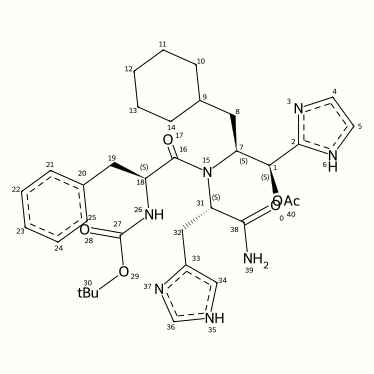 CC(=O)O[C@H](c1ncc[nH]1)[C@H](CC1CCCCC1)N(C(=O)[C@H](Cc1ccccc1)NC(=O)OC(C)(C)C)[C@@H](Cc1c[nH]cn1)C(N)=O